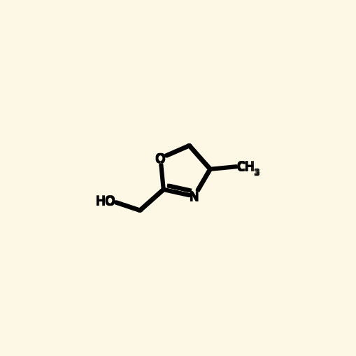 CC1COC(CO)=N1